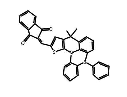 CC1(C)c2cc(C=C3C(=O)c4ccccc4C3=O)sc2N2c3ccccc3B(c3ccccc3)c3cccc1c32